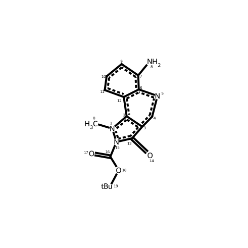 Cn1c2c(cnc3c(N)cccc32)c(=O)n1C(=O)OC(C)(C)C